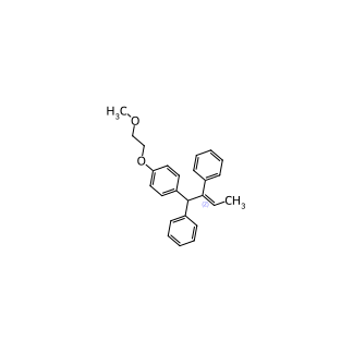 C/C=C(\c1ccccc1)C(c1ccccc1)c1ccc(OCCOC)cc1